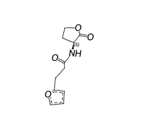 O=C(CCc1ccco1)N[C@H]1CCOC1=O